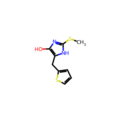 CSc1nc(O)c(Cc2cccs2)[nH]1